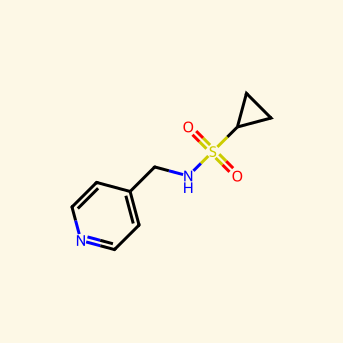 O=S(=O)(NCc1ccncc1)C1CC1